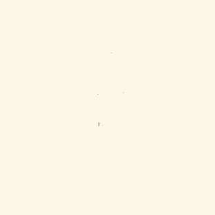 CC(C)(C)c1cnc(C(=O)NS(C)(=O)=O)nc1